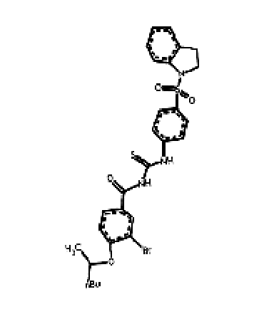 CCCCC(C)Oc1ccc(C(=O)NC(=S)Nc2ccc(S(=O)(=O)N3CCc4ccccc43)cc2)cc1Br